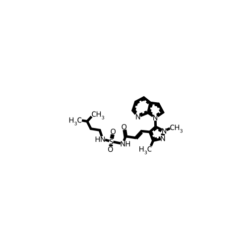 Cc1nn(C)c(-n2ccc3cccnc32)c1C=CC(=O)NS(=O)(=O)NCCC(C)C